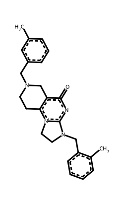 Cc1cccc(CN2CCc3c(c(=O)nc4n3CCN4Cc3ccccc3C)C2)c1